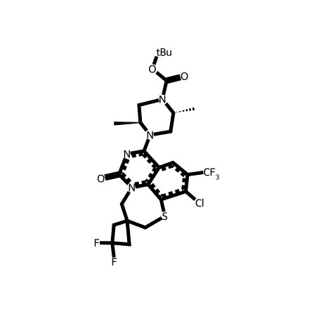 C[C@@H]1CN(c2nc(=O)n3c4c(c(Cl)c(C(F)(F)F)cc24)SCC2(C3)CC(F)(F)C2)[C@@H](C)CN1C(=O)OC(C)(C)C